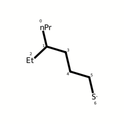 CCCC(CC)CCC[S]